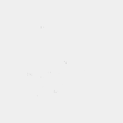 CC(C)(C)OC(=O)NC1CCc2ccccc2N(c2ccc(Br)cc2)C1=O